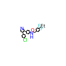 CCC(F)(F)c1ccc(CC(=O)Nc2ccc(-c3cnccc3-c3ccc(Cl)cc3)cc2)cc1